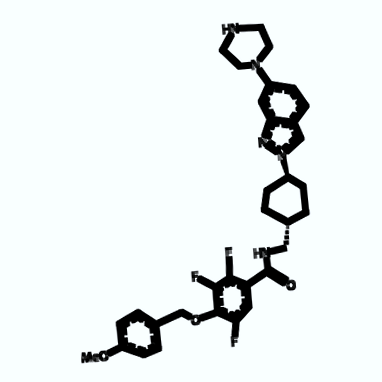 COc1ccc(COc2c(F)cc(C(=O)NC[C@H]3CC[C@H](n4cc5ccc(N6CCNCC6)cc5n4)CC3)c(F)c2F)cc1